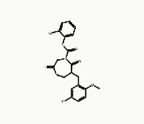 COc1ccc(Cl)cc1CC1CNC(=O)CN(C(=O)Oc2ccccc2Cl)C1=O